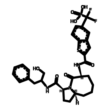 O=C(N[C@H]1CCCC[C@H]2CC[C@@H](C(=O)NC(CO)Cc3ccccc3)N2C1=O)c1cc2cc(C(F)(F)P(=O)(O)O)ccc2s1